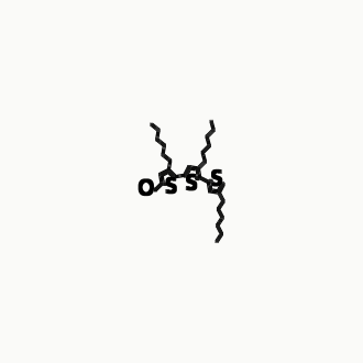 CCCCCCc1csc(-c2sc(-c3sc(C=O)cc3CCCCCC)cc2CCCCCC)c1